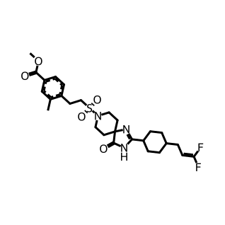 COC(=O)c1ccc(CCS(=O)(=O)N2CCC3(CC2)N=C(C2CCC(CC=C(F)F)CC2)NC3=O)c(C)c1